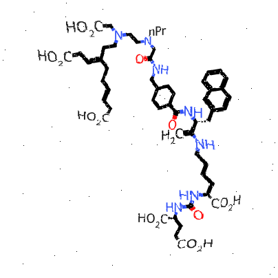 C=C(NCCCC[C@H](NC(=O)N[C@@H](CCC(=O)O)C(=O)O)C(=O)O)[C@@H](Cc1ccc2ccccc2c1)NC(=O)C1CCC(CNC(=O)CN(CCC)CCN(CC/C(=C\CC(=O)O)CC/C=C/CC(=O)O)CC(=O)O)CC1